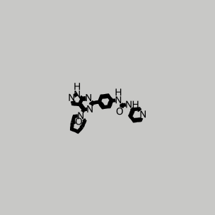 O=C(Nc1ccc(-c2nc(N3CC4CCC(C3)O4)c3cn[nH]c3n2)cc1)Nc1cccnc1